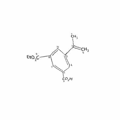 C=C(C)c1cc(C(=O)O)cc(C(=O)OCC)c1